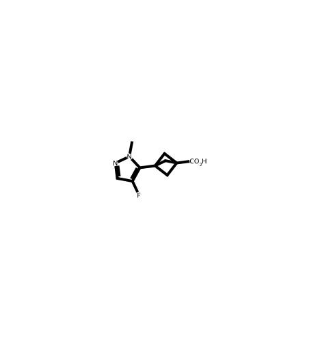 Cn1ncc(F)c1C12CC(C(=O)O)(C1)C2